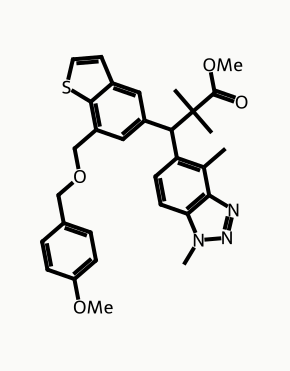 COC(=O)C(C)(C)C(c1cc(COCc2ccc(OC)cc2)c2sccc2c1)c1ccc2c(nnn2C)c1C